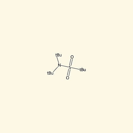 CC(C)(C)N(C(C)(C)C)S(=O)(=O)C(C)(C)C